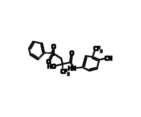 N#Cc1ccc(NC(=O)C(O)(CS(=O)(=O)c2ccccc2)C(F)(F)F)cc1C(F)(F)F